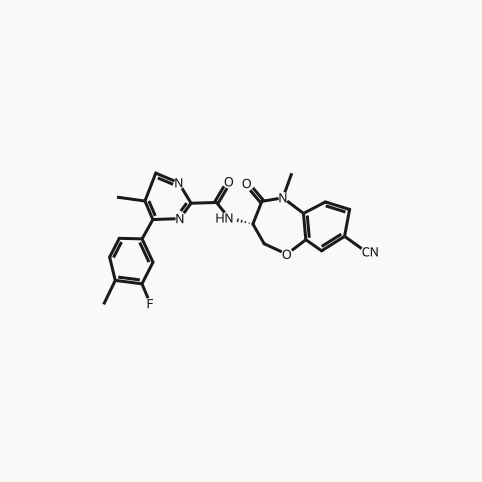 Cc1ccc(-c2nc(C(=O)N[C@H]3COc4cc(C#N)ccc4N(C)C3=O)ncc2C)cc1F